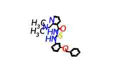 CN(C)Cc1ncccc1C(=O)NC(=S)Nc1cccc(OCc2ccccc2)c1